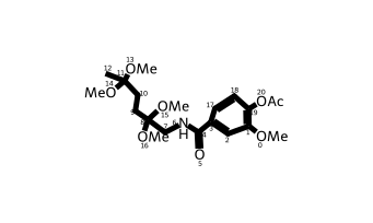 COc1cc(C(=O)NCC(CCC(C)(OC)OC)(OC)OC)ccc1OC(C)=O